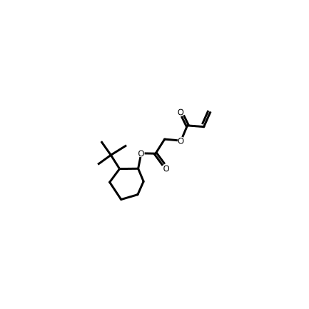 C=CC(=O)OCC(=O)OC1CCCCC1C(C)(C)C